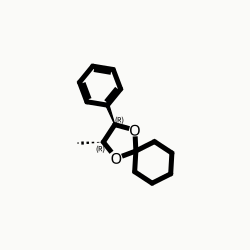 [CH2][C@H]1OC2(CCCCC2)O[C@@H]1c1ccccc1